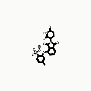 CCOS(=O)(=O)c1ccc(C)cc1Sc1cccc2c1C(=O)N(C1CCC(=O)NC1=O)C2=O